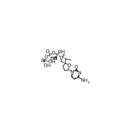 CC(F)[C@@]1(COP(=O)(O)OP(=O)(O)OP(=O)(O)O)CC[C@H](n2ccc(N)nc2=O)O1